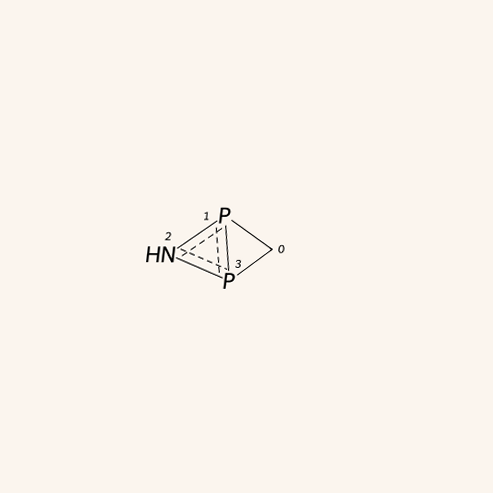 C1p2[nH]p21